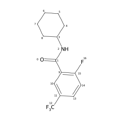 O=C(NC1CCCCC1)c1cc(C(F)(F)F)ccc1F